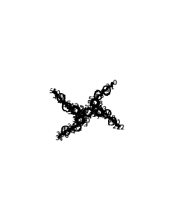 C=CCOCCOc1ccc(C2(c3ccc(OCCOCC=C)cc3)CCC(c3ccc(OCCOCC=C)cc3)(c3ccc(OCCOCC=C)cc3)CC2)cc1